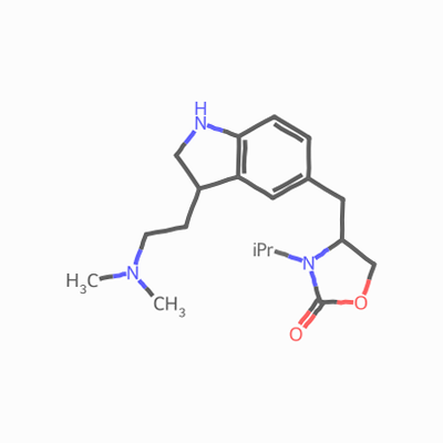 CC(C)N1C(=O)OCC1Cc1ccc2c(c1)C(CCN(C)C)CN2